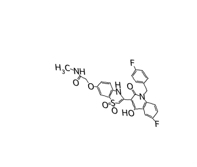 CNC(=O)COc1ccc2c(c1)S(=O)(=O)C=C(c1c(O)c3cc(F)ccc3n(Cc3ccc(F)cc3)c1=O)N2